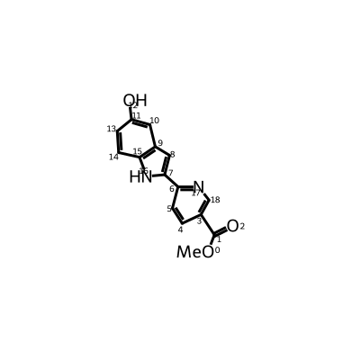 COC(=O)c1ccc(-c2cc3cc(O)ccc3[nH]2)nc1